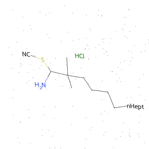 CCCCCCCCCCCC(C)(C)C(N)SC#N.Cl